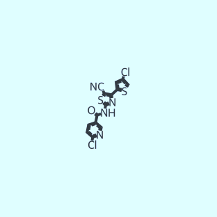 N#Cc1sc(NC(=O)c2ccc(Cl)nc2)nc1-c1cc(Cl)cs1